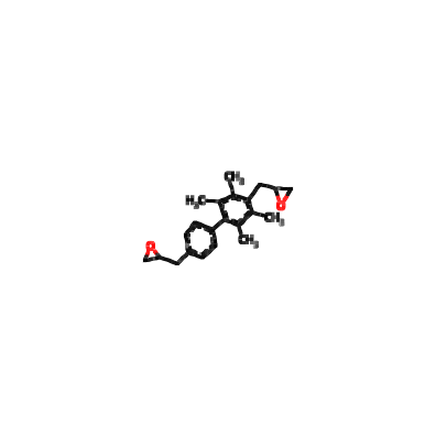 Cc1c(C)c(-c2ccc(CC3CO3)cc2)c(C)c(C)c1CC1CO1